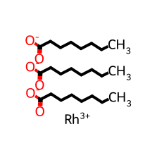 CCCCCCCC(=O)[O-].CCCCCCCC(=O)[O-].CCCCCCCC(=O)[O-].[Rh+3]